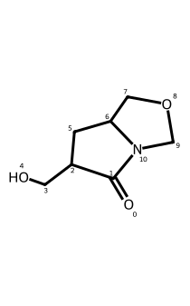 O=C1C(CO)CC2COCN12